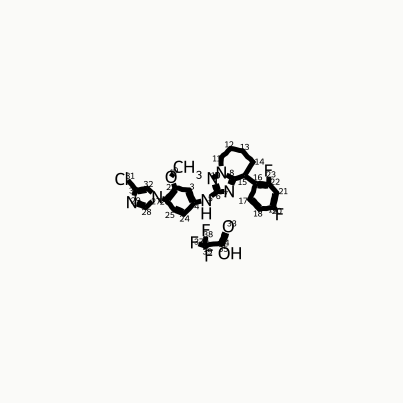 COc1cc(Nc2nc3n(n2)CCCCC3c2ccc(F)cc2F)ccc1-n1cnc(Cl)c1.O=C(O)C(F)(F)F